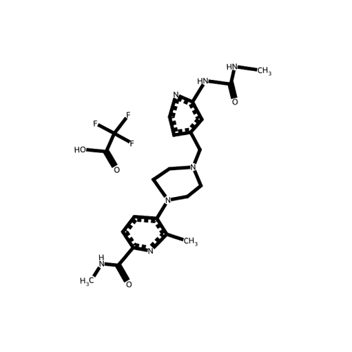 CNC(=O)Nc1cc(CN2CCN(c3ccc(C(=O)NC)nc3C)CC2)ccn1.O=C(O)C(F)(F)F